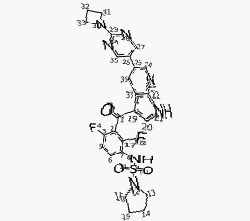 O=C(c1c(F)ccc(NS(=O)(=O)N2CCCC2)c1F)c1c[nH]c2ncc(-c3cnc(N4CCC4)nc3)cc12